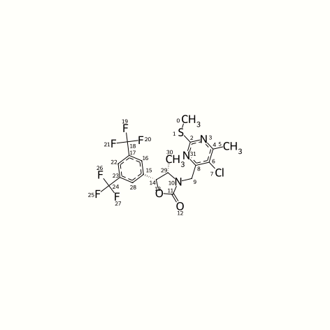 CSc1nc(C)c(Cl)c(CN2C(=O)O[C@H](c3cc(C(F)(F)F)cc(C(F)(F)F)c3)[C@@H]2C)n1